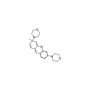 CC1(N2CCOCC2)C=CC2=Cc3ccc(N4CCOCC4)cc3OC2=C1